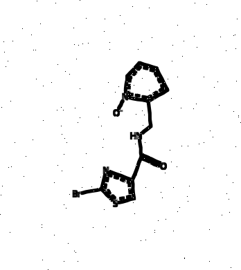 O=C(NCc1cccc[n+]1[O-])c1csc(Br)n1